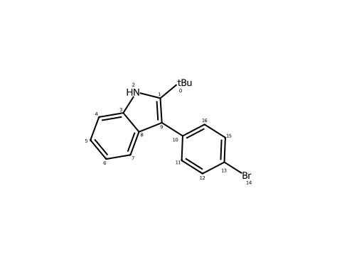 CC(C)(C)c1[nH]c2ccccc2c1-c1ccc(Br)cc1